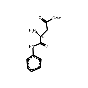 COC(=O)C[C@H](N)C(=O)Nc1ccccc1